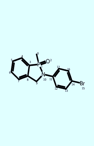 CP1(=O)c2ccccc2CN1c1ccc(Br)cc1